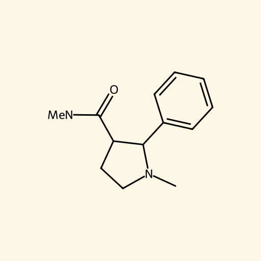 CNC(=O)C1CCN(C)C1c1ccccc1